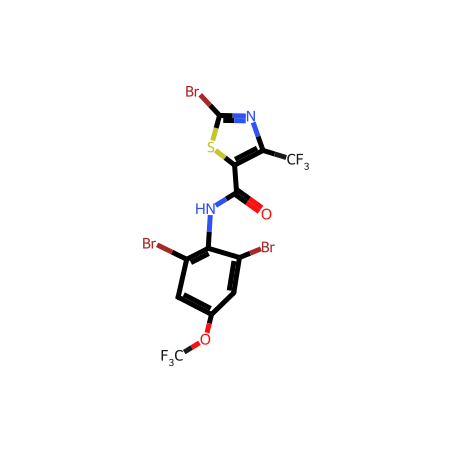 O=C(Nc1c(Br)cc(OC(F)(F)F)cc1Br)c1sc(Br)nc1C(F)(F)F